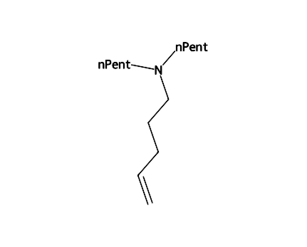 C=CCCCN(CCCCC)CCCCC